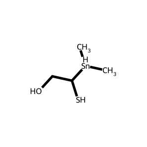 [CH3][SnH]([CH3])[CH](S)CO